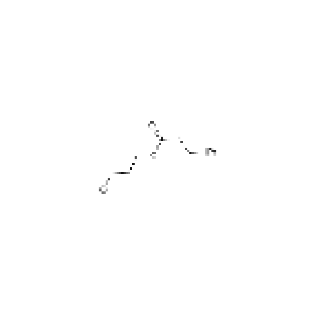 CC(C)CCC(=O)OCCC[O]